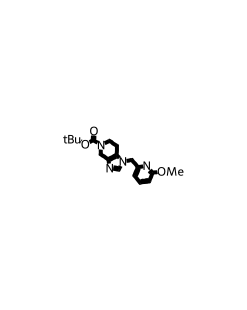 COc1cccc(Cn2cnc3c2CCN(C(=O)OC(C)(C)C)C3)n1